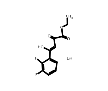 CCOC(=O)C(=O)C=C(O)c1cccc(F)c1F.[LiH]